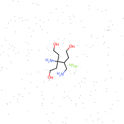 F.F.NCC(CCO)C(N)(CCO)CCO